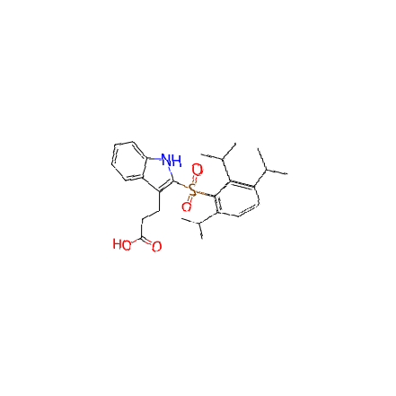 CC(C)c1ccc(C(C)C)c(S(=O)(=O)c2[nH]c3ccccc3c2CCC(=O)O)c1C(C)C